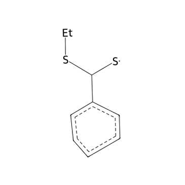 CCSC([S])c1ccccc1